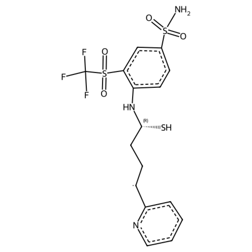 NS(=O)(=O)c1ccc(N[C@H](S)CC[CH]c2ccccn2)c(S(=O)(=O)C(F)(F)F)c1